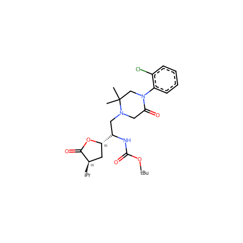 CC(C)[C@@H]1C[C@@H](C(CN2CC(=O)N(c3ccccc3Cl)CC2(C)C)NC(=O)OC(C)(C)C)OC1=O